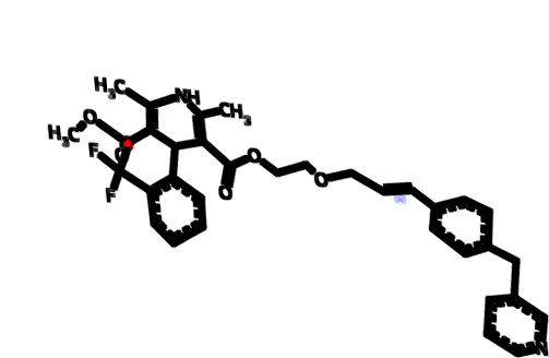 COC(=O)C1=C(C)NC(C)=C(C(=O)OCCOC/C=C/c2ccc(Cc3cccnc3)cc2)C1c1ccccc1C(F)(F)F